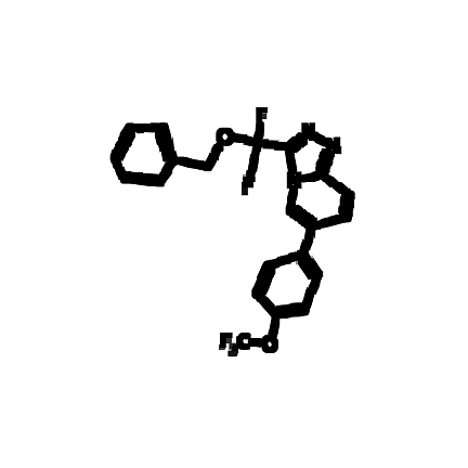 FC(F)(F)Oc1ccc(-c2ccc3nnc(C(F)(F)OCc4ccccc4)n3c2)cc1